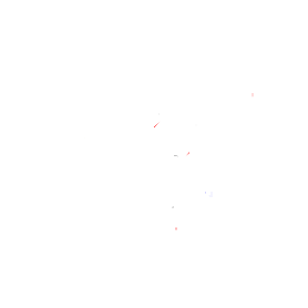 CNC1[C@H](O)CC(COS(=O)(=O)O)C[C@H]1O[C@H]1C(C(=O)O)CCC(C)[C@@H]1O